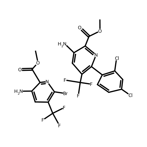 COC(=O)c1nc(-c2ccc(Cl)cc2Cl)c(C(F)(F)F)cc1N.COC(=O)c1nc(Br)c(C(F)(F)F)cc1N